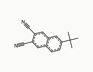 CC(C)(C)c1ccc2cc(C#N)c(C#N)cc2c1